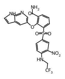 NC(=O)c1cccc(S(=O)(=O)c2ccc(NCC(F)(F)F)c([N+](=O)[O-])c2)c1Oc1cnc2[nH]ccc2c1